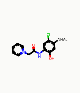 CC(=O)Nc1cc(O)c(NC(=O)C[n+]2ccccc2)cc1Cl